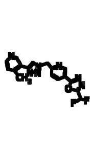 Cc1ccncc1-c1cn(Cc2ccc(-c3nnc(C(F)F)o3)cn2)nn1